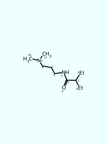 CCC(CC)C(=O)NCCCN(C)C